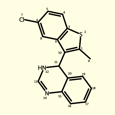 Cc1sc2ccc(Cl)cc2c1C1NC=Nc2ccccc21